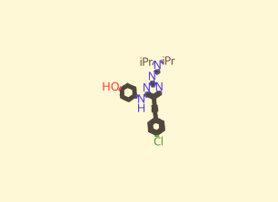 CC(C)N(C=Nc1ncc(C#Cc2ccc(Cl)cc2)c(NC2CCC(O)CC2)n1)C(C)C